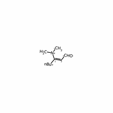 CCCCC(=C[C]=O)N(C)C